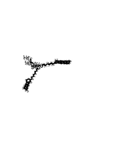 O=P(O)(OC[C@@H](O)CO)OC[C@@H](COCCCCCCC1CC2C1C1C3C4CCC4C3C21)OCCCCCCCCC1CCC2C(C1)C1C3CCC3C21